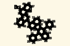 Brc1cc2c(cc(-c3ccc4c5c(cccc35)-c3c-4c(-c4ccccc4)c4ccccc4c3-c3ccccc3)c3cccnc32)c2ncccc12